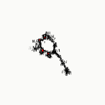 CC(C)C[C@H]1NC(=O)[C@@H](CCCNC(=N)N)NC(=O)[C@@H](Cc2ccccc2)NC(=O)[C@@H](Cc2ccccc2)NC(=O)[C@@H](NC(=O)COCCOCCOCCNC(=O)CCCC[C@H]2SC[C@H]3NC(=O)N[C@H]32)Cc2cn(nn2)CCCC[C@@H](C(N)=O)NC(=O)[C@@H](Cc2ccc(O)cc2)NC1=O